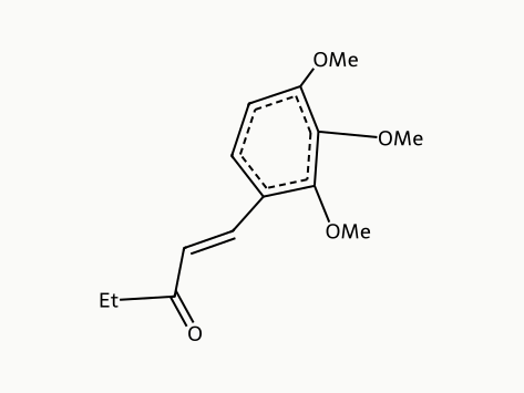 CCC(=O)/C=C/c1ccc(OC)c(OC)c1OC